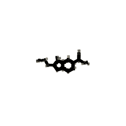 CCCCCOc1cc2cnc(C(N)=O)nc2[nH]1